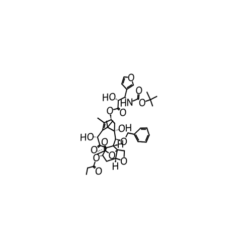 CCC(=O)O[C@H]1C[C@H]2OC[C@@]2(OC(C)=O)[C@H]2[C@H](OCc3ccccc3)[C@]3(O)C[C@H](OC(=O)[C@H](O)[C@@H](NC(=O)OC(C)(C)C)c4ccoc4)C(C)=C([C@@H](O)C(=O)[C@]12C)C3(C)C